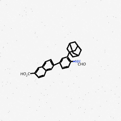 O=CNc1ccc(-c2ccc3cc(C(=O)O)ccc3c2)cc1C12CC3CC(CC(C3)C1)C2